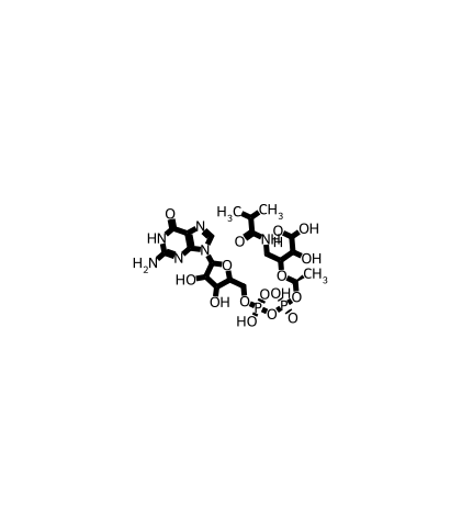 CC(C)C(=O)NCC(O[C@@H](C)OP(=O)(O)OP(=O)(O)OCC1OC(n2cnc3c(=O)[nH]c(N)nc32)C(O)C1O)C(O)C(O)O